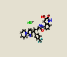 Cl.O=C(/C=C/C=C(\c1ccc(C(F)(F)F)cc1)c1ccc(N2CCCCCC2)nc1)Nc1cccc2c1CC(O)C(=O)N2